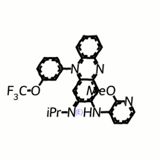 COc1ncccc1Nc1cc2nc3ccccc3n(-c3cccc(OC(F)(F)F)c3)c-2c/c1=N\C(C)C